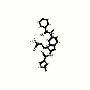 Cc1nc(C(=O)Nc2cc3ccc(N(C)C(=O)C4CCCCC4)cc3n2CCC(N)=O)cs1